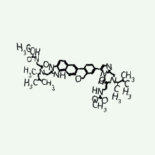 COC(=O)NCC(=O)N(Cc1ncc(-c2ccc3c(c2)COc2cc4c(ccc5nc(CN(C(=O)CNC(=O)OC)[C@@H](C)C(C)C)[nH]c54)cc2-3)[nH]1)[C@@H](C)C(C)C